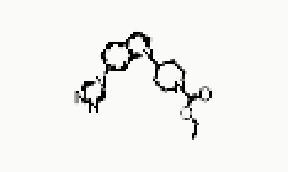 CCOC(=O)N1CCC(n2ccc3ccc(-n4cnnc4)cc32)CC1